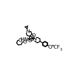 O=C(NOC1CCCCO1)C1(S(=O)(=O)N2CCC(c3ccc(OCC(F)(F)F)cc3)CC2)CCN(C2CC2)CC1